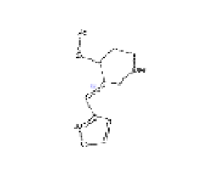 CC(=O)SC1CCNC/C1=C\c1ccon1